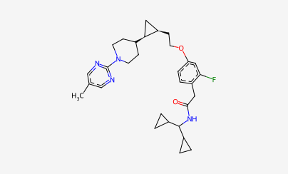 Cc1cnc(N2CCC([C@H]3C[C@H]3CCOc3ccc(CC(=O)NC(C4CC4)C4CC4)c(F)c3)CC2)nc1